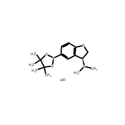 CN(C)[C@@H]1COc2ccc(B3OC(C)(C)C(C)(C)O3)cc21.Cl